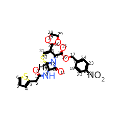 O=C(Cc1cccs1)NC1C(=O)N2C(C(=O)OCc3ccc([N+](=O)[O-])cc3)C(C3OCCO3)=CS[C@@H]12